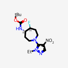 CCn1ncc([N+](=O)[O-])c1N1CC[C@H](NC(=O)OC(C)(C)C)[C@@H](F)CC1